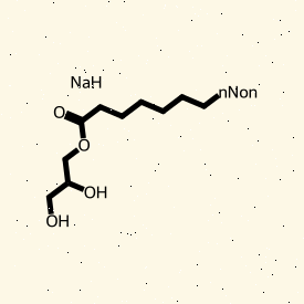 CCCCCCCCCCCCCCCC(=O)OCC(O)CO.[NaH]